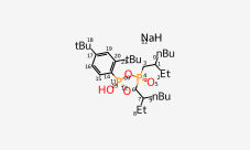 CCCCC(CC)CP(=O)(CC(CC)CCCC)OP(=O)(O)c1ccc(C(C)(C)C)cc1C(C)(C)C.[NaH]